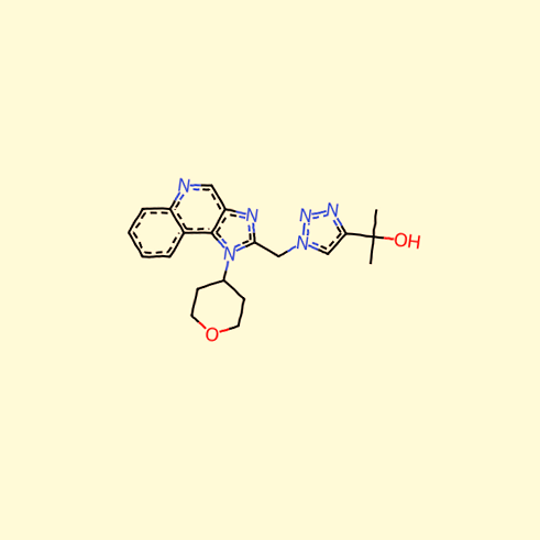 CC(C)(O)c1cn(Cc2nc3cnc4ccccc4c3n2C2CCOCC2)nn1